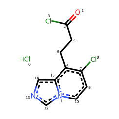 Cl.O=C(Cl)CCc1c(Cl)ccn2cncc12